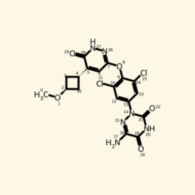 CO[C@H]1C[C@H](c2cc(Oc3c(Cl)cc(-n4nc(N)c(=O)[nH]c4=O)cc3Cl)n[nH]c2=O)C1